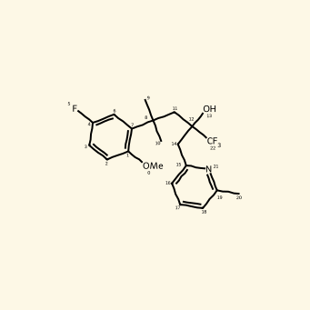 COc1ccc(F)cc1C(C)(C)CC(O)(Cc1cccc(C)n1)C(F)(F)F